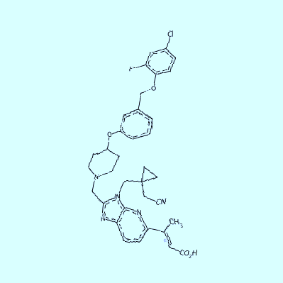 C/C(=C\C(=O)O)c1ccc2nc(CN3CCC(Oc4cccc(COc5ccc(Cl)cc5F)c4)CC3)n(CC3(CC#N)CC3)c2n1